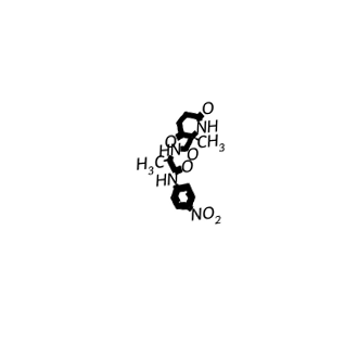 C[C@H](NC(=O)[C@]1(C)NC(=O)CCC1=O)C(=O)Nc1ccc([N+](=O)[O-])cc1